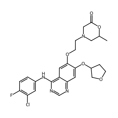 CC1CN(CCOc2cc3c(Nc4ccc(F)c(Cl)c4)ncnc3cc2OC2CCOC2)CC(=O)O1